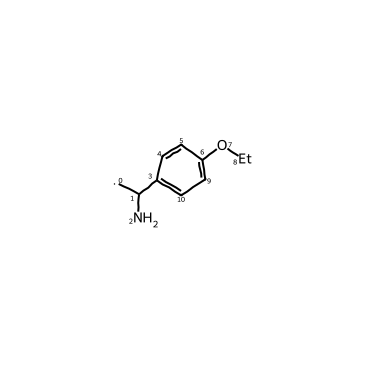 [CH2]C(N)c1ccc(OCC)cc1